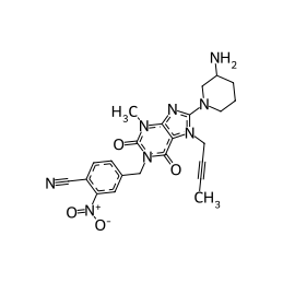 CC#CCn1c(N2CCCC(N)C2)nc2c1c(=O)n(Cc1ccc(C#N)c([N+](=O)[O-])c1)c(=O)n2C